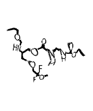 CCOCNC(COCC(F)(F)OC)COC(=O)NCNC(=O)OCC